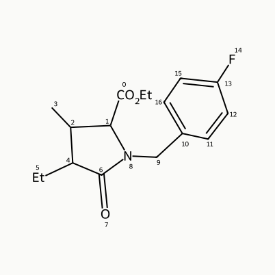 CCOC(=O)C1C(C)C(CC)C(=O)N1Cc1ccc(F)cc1